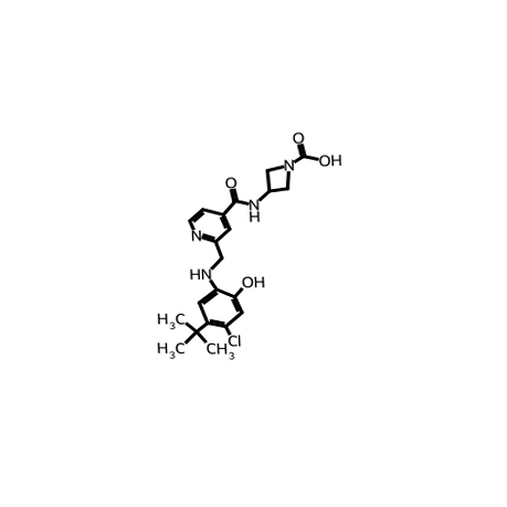 CC(C)(C)c1cc(NCc2cc(C(=O)NC3CN(C(=O)O)C3)ccn2)c(O)cc1Cl